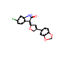 O=C1Nc2cc(F)ccc2/C1=C1/C=C(c2ccc3c(c2)OCO3)CO1